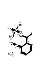 C[CH]([Na])C1C=CC=CC1=C=O.O.O=S(O)(O)=S